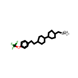 C[SiH2]CC1CCC(C2CCC(CCc3ccc(OC(F)(F)F)cc3)CC2)CC1